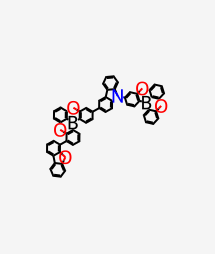 c1ccc2c(c1)Oc1cccc3c1B2c1ccc(-n2c4ccccc4c4cc(-c5ccc6c(c5)Oc5cccc7c5B6c5cccc(-c6cccc8c6oc6ccccc68)c5O7)ccc42)cc1O3